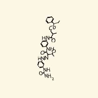 CC[CH]([Co][CH2]C(C)C(=O)Nc1cccc(NC(=O)/C(=N\Nc2cccc(NC(N)=O)c2)C(C)=O)c1)c1ccccc1